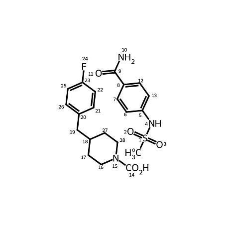 CS(=O)(=O)Nc1ccc(C(N)=O)cc1.O=C(O)N1CCC(Cc2ccc(F)cc2)CC1